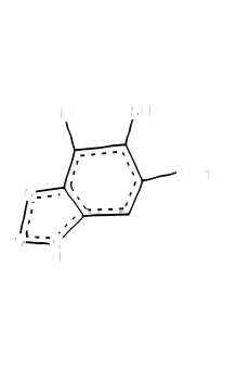 CCCCCCCc1cc2[nH]nnc2c(CC)c1N